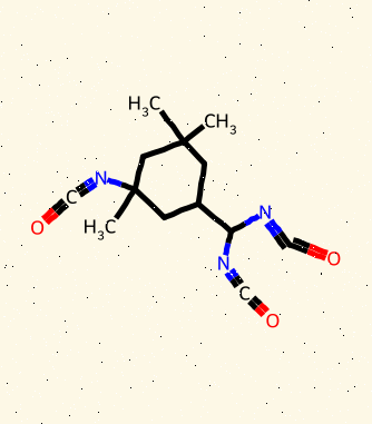 CC1(C)CC(C(N=C=O)N=C=O)CC(C)(N=C=O)C1